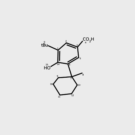 CC(C)(C)c1cc(C(=O)O)cc(C2(C)CCCCC2)c1O